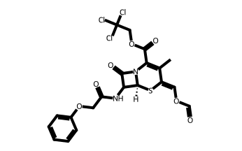 CC1=C(C(=O)OCC(Cl)(Cl)Cl)N2C(=O)C(NC(=O)COc3ccccc3)[C@@H]2SC1=COC=O